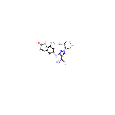 Cc1cc(Nc2nn([C@@H]3COCC[C@H]3C#N)cc2C(N)=O)cc2c1OB(O)C=C2